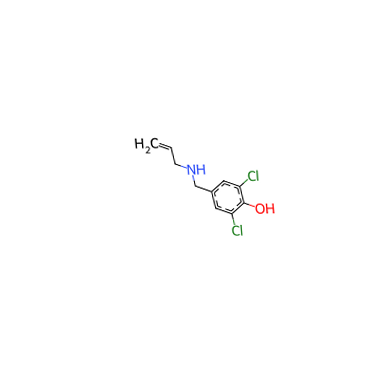 C=CCNCc1cc(Cl)c(O)c(Cl)c1